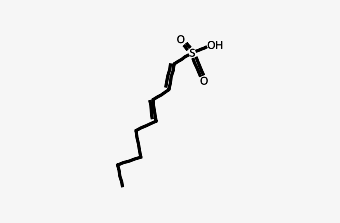 CCCCC=CC=CS(=O)(=O)O